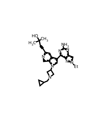 CCn1cc2nc(N)nc(-c3cn(C4CN(CC5CC5)C4)c4cnc(C#CC(C)(C)O)cc34)c2n1